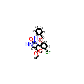 CCOC(=O)C1=CNC(=O)NC1c1cc(Br)ccc1OCc1ccccc1